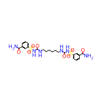 NC(=O)c1cccc(S(=O)(=O)NC(=O)NCCCCCCNC(=O)NS(=O)(=O)c2cccc(C(N)=O)c2)c1